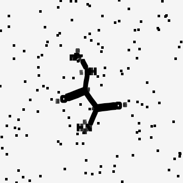 [CH2]CCNC(=O)C(N)=O